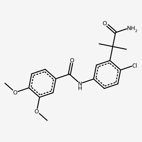 COc1ccc(C(=O)Nc2ccc(Cl)c(C(C)(C)C(N)=O)c2)cc1OC